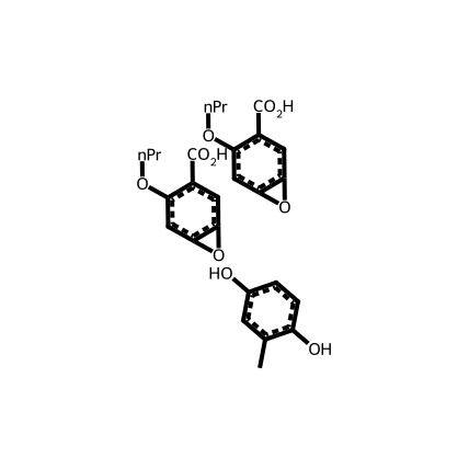 CCCOc1cc2c(cc1C(=O)O)O2.CCCOc1cc2c(cc1C(=O)O)O2.Cc1cc(O)ccc1O